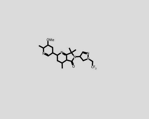 COC1CC(C2CC(C)C3C(=O)N(C4C=NN(CC(F)(F)F)C4)C(C)(C)C3=N2)C=NC1C